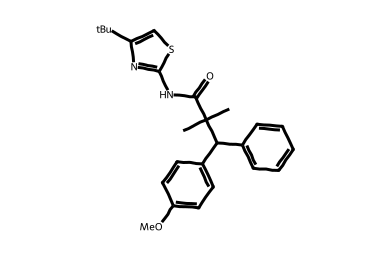 COc1ccc(C(c2ccccc2)C(C)(C)C(=O)Nc2nc(C(C)(C)C)cs2)cc1